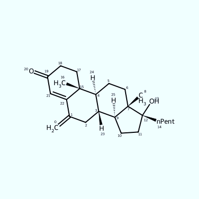 C=C1C[C@@H]2[C@H](CC[C@@]3(C)[C@H]2CC[C@]3(O)CCCCC)[C@@]2(C)CCC(=O)C=C12